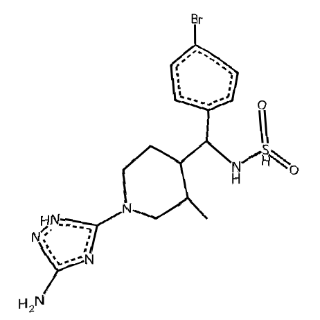 CC1CN(c2nc(N)n[nH]2)CCC1C(N[SH](=O)=O)c1ccc(Br)cc1